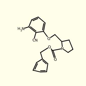 N#Cc1c(N)cccc1OCC1CCCN1C(=O)OCc1ccccc1